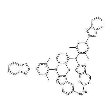 Cc1cc(-c2cc3ccccc3o2)cc(C)c1N1c2cccc3c2B(c2c1sc1ccc(C(C)(C)C)cc21)c1c(sc2ccc(C(C)(C)C)cc12)N3c1c(C)cc(-c2cc3ccccc3o2)cc1C